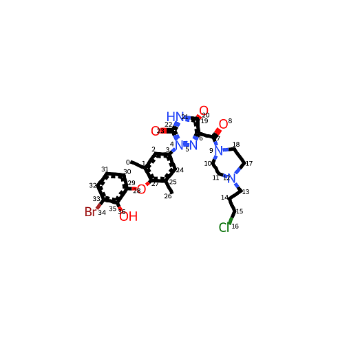 Cc1cc(-n2nc(C(=O)N3CCN(CCCCl)CC3)c(=O)[nH]c2=O)cc(C)c1Oc1cccc(Br)c1O